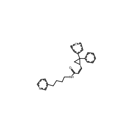 O=C(/C=C\[C@H]1CC1(c1ccccc1)c1ccccc1)NCCCCc1cccnc1